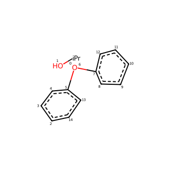 CC(C)O.c1ccc(Oc2ccccc2)cc1